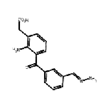 NN=Cc1cccc(C(=O)c2cccc(CC(=O)O)c2N)c1